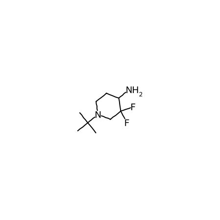 CC(C)(C)N1CCC(N)C(F)(F)C1